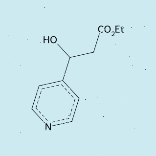 CCOC(=O)CC(O)c1ccncc1